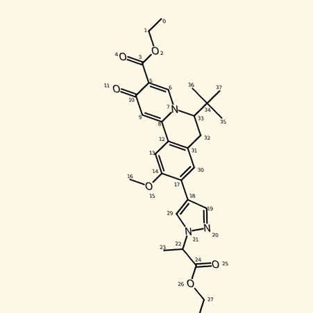 CCOC(=O)c1cn2c(cc1=O)-c1cc(OC)c(-c3cnn(C(C)C(=O)OCC)c3)cc1CC2C(C)(C)C